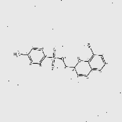 Cc1ccc(S(=O)(=O)OCC2C=Cc3cccc(Br)c3O2)cc1